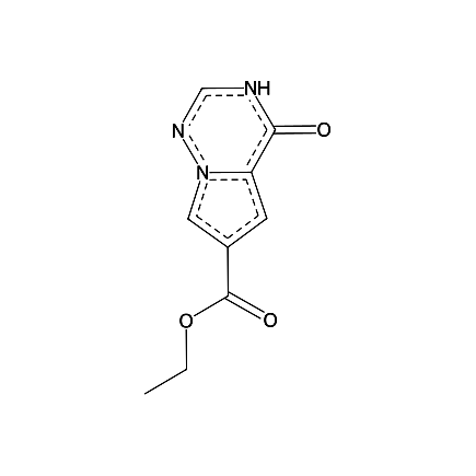 CCOC(=O)c1cc2c(=O)[nH]cnn2c1